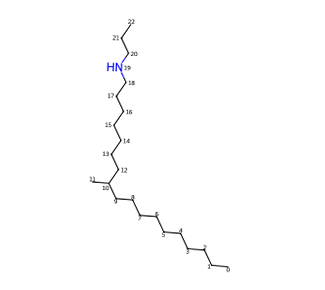 CCCCCCCCCCC(C)CCCCCCCNCCC